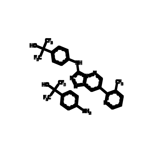 Nc1ccc(C(O)(C(F)(F)F)C(F)(F)F)cc1.OC(c1ccc(Nc2nnc3cc(-c4ncccc4C(F)(F)F)cnn23)cc1)(C(F)(F)F)C(F)(F)F